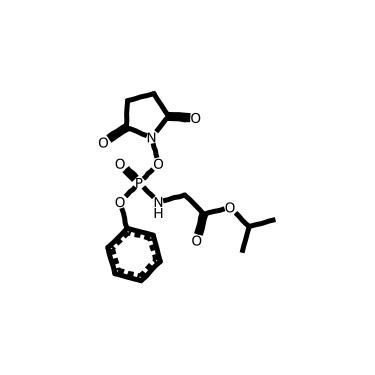 CC(C)OC(=O)CNP(=O)(Oc1ccccc1)ON1C(=O)CCC1=O